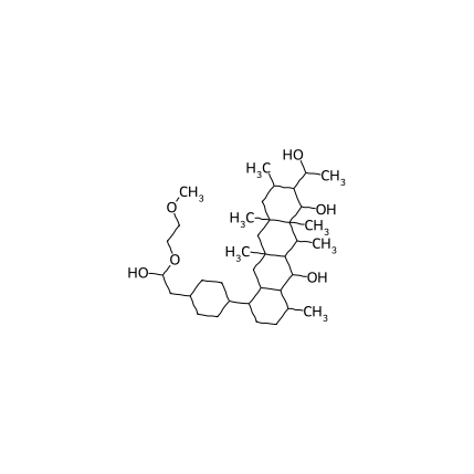 COCCOC(O)CC1CCC(C2CCC(C)C3C(O)C4C(C)C5(C)C(O)C(C(C)O)C(C)CC5(C)CC4(C)CC23)CC1